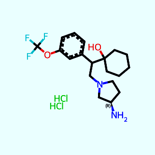 Cl.Cl.N[C@@H]1CCN(CC(c2cccc(OC(F)(F)F)c2)C2(O)CCCCC2)C1